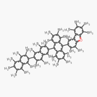 Bc1c(B)c(B)c2c(oc3c(B)c(B)c(-c4c5c(B)c(B)c(B)c(B)c5c(-c5c(B)c(B)c6c(B)c(-c7c(B)c(B)c8c(B)c(B)c(B)c(B)c8c7B)c(B)c(B)c6c5B)c5c(B)c(B)c(B)c(B)c45)c(B)c32)c1B